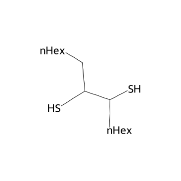 CCCCCCCC(S)C(S)CCCCCC